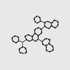 c1ccc(-c2cc3ccccc3cc2-c2ccc3c(c2)c(-c2ccc4ccccc4c2)cc2cc(N(c4ccccc4)c4ccccc4)ccc23)cc1